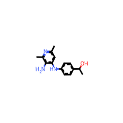 Cc1cc(Nc2ccc(C(C)O)cc2)c(N)c(C)n1